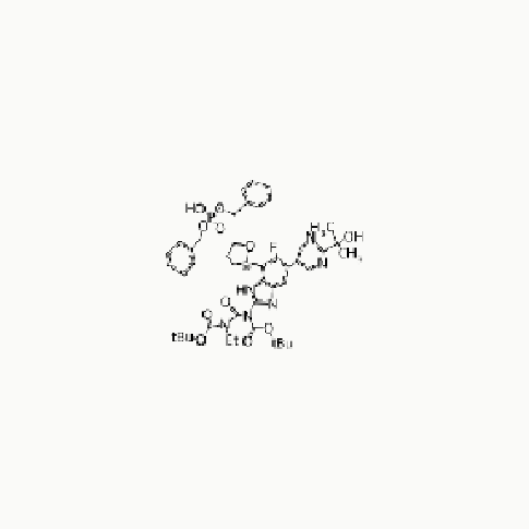 CCN(C(=O)OC(C)(C)C)C(=O)N(C(=O)OC(C)(C)C)c1nc2cc(-c3cnc(C(C)(C)O)nc3)c(F)c([C@H]3CCCO3)c2[nH]1.O=P(O)(OCc1ccccc1)OCc1ccccc1